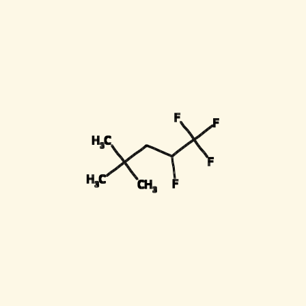 CC(C)(C)CC(F)C(F)(F)F